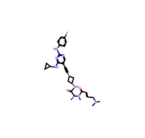 C[C@@H](C(=O)N[C@H]1C[C@@H](C#Cc2cnc(Nc3ccc(F)cc3)nc2NC2CC2)C1)N(C)C(=O)/C=C/CN(C)C